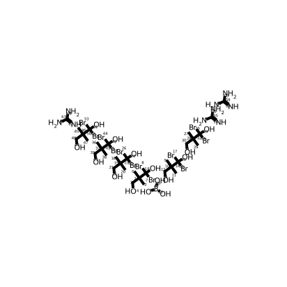 CC(C)(CO)C(O)(Br)Br.CC(C)(CO)C(O)(Br)Br.CC(C)(CO)C(O)(Br)Br.CC(C)(CO)C(O)(Br)Br.CC(C)(CO)C(O)(Br)Br.CC(C)(CO)C(O)(Br)Br.N=C(N)N.N=C(N)N.N=C(N)N.OB(O)O